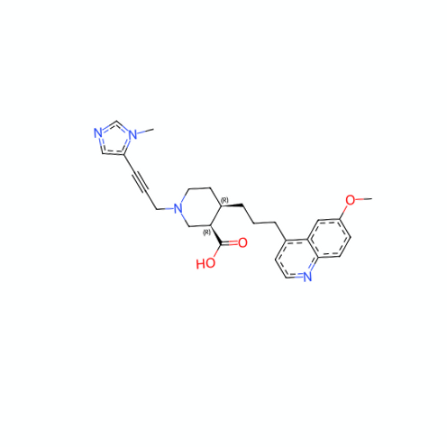 COc1ccc2nccc(CCC[C@@H]3CCN(CC#Cc4cncn4C)C[C@@H]3C(=O)O)c2c1